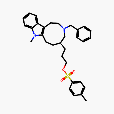 Cc1ccc(S(=O)(=O)OCCC[C@H]2CCc3c(c4ccccc4n3C)CCN(Cc3ccccc3)C2)cc1